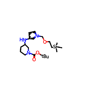 CC(C)(C)OC(=O)N1CCCC(Nc2ccn(COCC[Si](C)(C)C)c2)C1